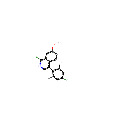 COc1ccc2c(-c3c(C)cc(F)cc3C)cnc(Cl)c2c1